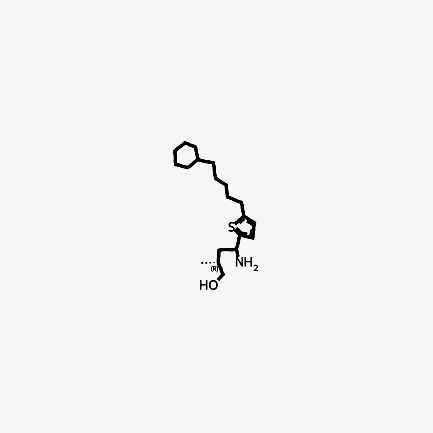 C[C@@H](CO)CC(N)c1ccc(CCCCCC2CCCCC2)s1